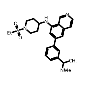 CCS(=O)(=O)N1CCC(Nc2cc(-c3cccc(C(C)NC)c3)cc3ccncc23)CC1